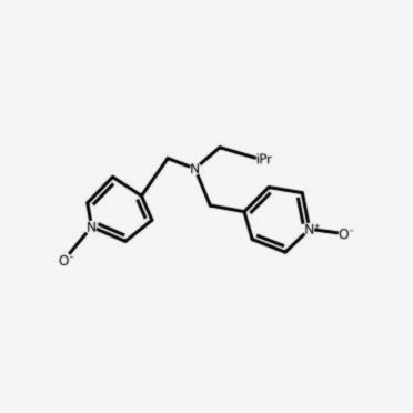 CC(C)CN(Cc1cc[n+]([O-])cc1)Cc1cc[n+]([O-])cc1